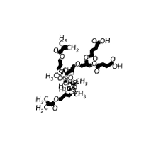 C=C(C)C(=O)OCCC[Si](C)(C)O[Si](C)(C)O[Si](C)(CCCOCC(COC(=O)CCC(=O)O)OC(=O)CCC(=O)O)O[Si](C)(C)CCCOC(=O)C(=C)C